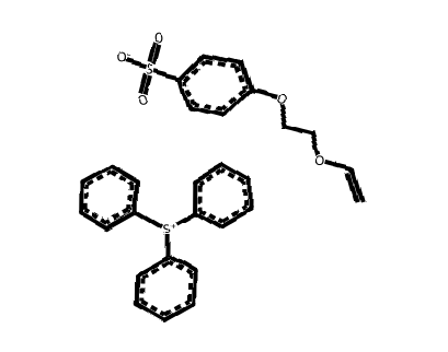 C=COCCOc1ccc(S(=O)(=O)[O-])cc1.c1ccc([S+](c2ccccc2)c2ccccc2)cc1